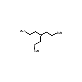 CSCCN(CCSC)CCSC